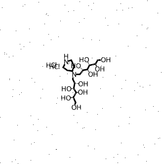 Cl.Cl.OC[C@@H](O)[C@@H](O)[C@H](O)[C@@H](O)CN(C[C@H](O)[C@@H](O)[C@H](O)[C@H](O)CO)C1CCNCC1